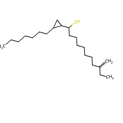 C=C(CC)CCCCCCCC(S)C1CC1CCCCCCC